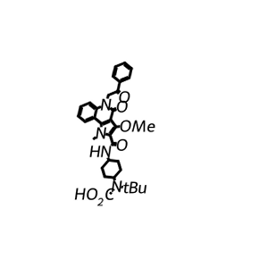 COc1c(C(=O)NC2CCC(N(C(=O)O)C(C)(C)C)CC2)n(C)c2c1c(=O)n(CC(=O)c1ccccc1)c1ccccc21